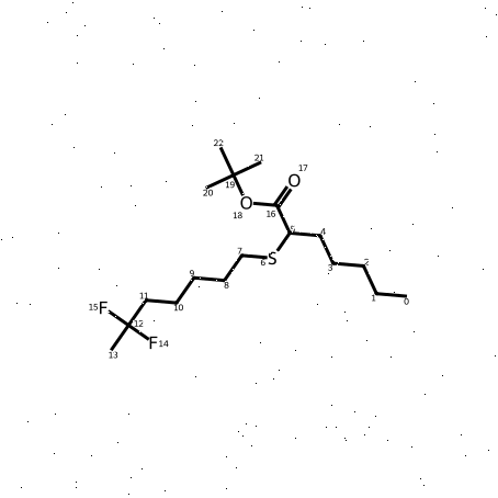 CCCCCC(SCCCCCC(C)(F)F)C(=O)OC(C)(C)C